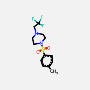 Cc1ccc(S(=O)(=O)N2CCN(CC(F)(F)F)CC2)cc1